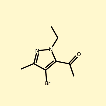 CCn1nc(C)c(Br)c1C(C)=O